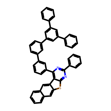 c1ccc(-c2cc(-c3ccccc3)cc(-c3cccc(-c4cccc(-c5nc(-c6ccccc6)nc6sc7cc8ccccc8cc7c56)c4)c3)c2)cc1